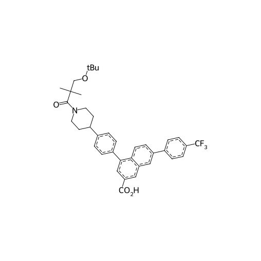 CC(C)(C)OCC(C)(C)C(=O)N1CCC(c2ccc(-c3cc(C(=O)O)cc4cc(-c5ccc(C(F)(F)F)cc5)ccc34)cc2)CC1